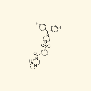 O=C(c1cccc(S(=O)(=O)N2CCN(C(c3ccc(F)cc3)c3ccc(F)cc3)CC2)c1)N1CCN2CCC[C@@H]2C1